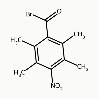 Cc1c(C)c([N+](=O)[O-])c(C)c(C)c1C(=O)Br